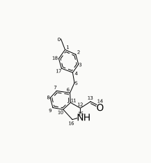 Cc1ccc(Cc2cccc3c2C(C=O)NC3)cc1